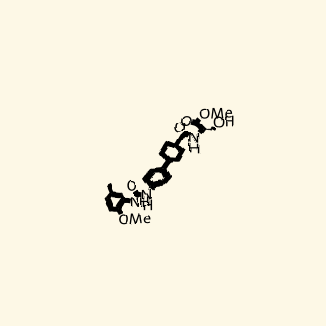 COC(=O)[C@H](CO)NC(=O)C1CCC(c2ccc(NC(=O)Nc3cc(C)ccc3OC)cc2)CC1